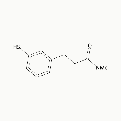 [CH2]NC(=O)CCc1cccc(S)c1